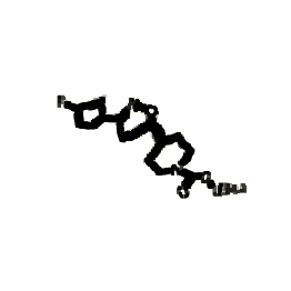 CC(C)(C)OC(=O)N1CCC(c2cc(-c3ccc(F)cc3)no2)CC1